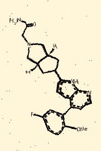 COc1ccc(F)cc1-c1ccnc2[nH]c(C3C[C@@H]4CN(CC(N)=O)C[C@@H]4C3)cc12